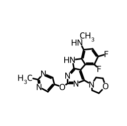 CNc1cc(F)c(F)c2c1[nH]c1nc(Oc3cnc(C)nc3)nc(N3CCOCC3)c12